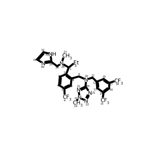 CCC(c1ccc(C(F)(F)F)cc1CN(Cc1cc(C(F)(F)F)cc(C(F)(F)F)c1)c1nnn(C)n1)N(C)Cc1ncc[nH]1